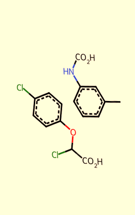 Cc1cccc(NC(=O)O)c1.O=C(O)C(Cl)Oc1ccc(Cl)cc1